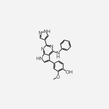 COc1cc(-c2c[nH]c3nc(-c4cn[nH]c4)nc(Nc4ccccc4)c23)ccc1O